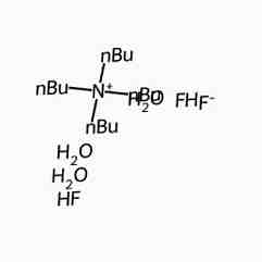 CCCC[N+](CCCC)(CCCC)CCCC.F.F.O.O.O.[F-]